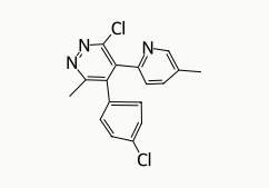 Cc1ccc(-c2c(Cl)nnc(C)c2-c2ccc(Cl)cc2)nc1